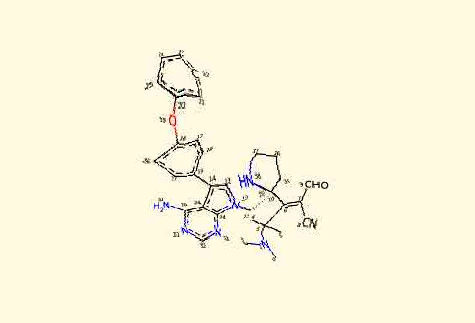 CN(C)C(C)(C)C(=C(C#N)C=O)[C@]1(Cn2cc(-c3ccc(Oc4ccccc4)cc3)c3c(N)ncnc32)CCCN1